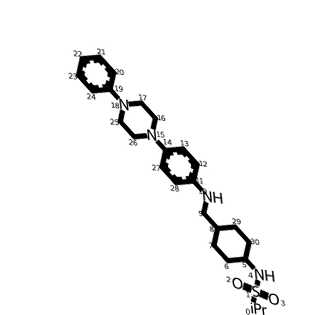 CC(C)S(=O)(=O)NC1CCC(CNc2ccc(N3CCN(c4ccccc4)CC3)cc2)CC1